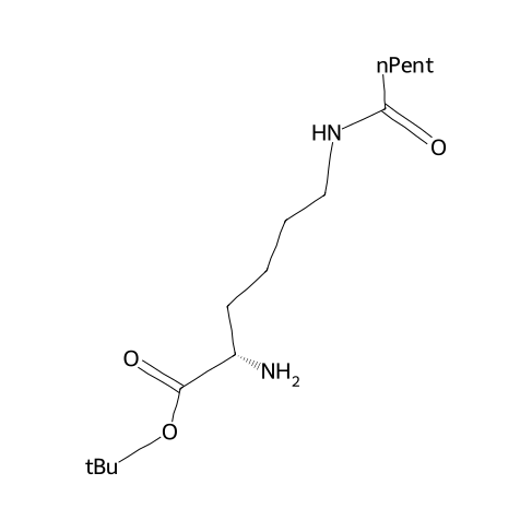 CCCCCC(=O)NCCCC[C@H](N)C(=O)OC(C)(C)C